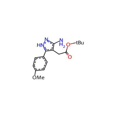 COc1ccc(-c2[nH]nc(N)c2CC(=O)OC(C)(C)C)cc1